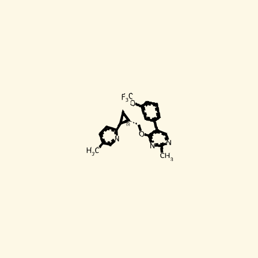 Cc1ccc(C2C[C@@H]2COc2nc(C)ncc2-c2cccc(OC(F)(F)F)c2)nc1